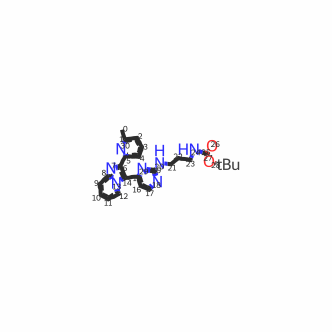 Cc1cccc(-c2nc3ccccn3c2-c2ccnc(NCCCNC(=O)OC(C)(C)C)n2)n1